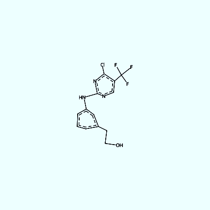 OCCc1cccc(Nc2ncc(C(F)(F)F)c(Cl)n2)c1